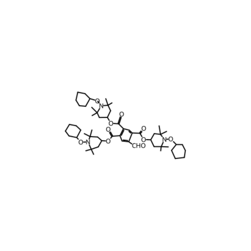 CC1(C)CC(OC(=O)c2cc(C(=O)OC3CC(C)(C)N(OC4CCCCC4)C(C)(C)C3)c(C(=O)OC3CC(C)(C)N(OC4CCCCC4)C(C)(C)C3)cc2C=O)CC(C)(C)N1OC1CCCCC1